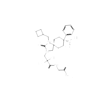 CN(C)[C@]1(c2ccccc2)CC[C@@]2(CC1)CN(CC(C)(C)C(=O)NCC(N)=O)C(=O)N2CC1CCC1